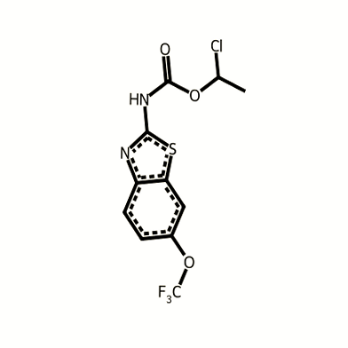 CC(Cl)OC(=O)Nc1nc2ccc(OC(F)(F)F)cc2s1